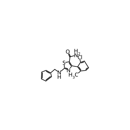 Cc1cccc(Cl)c1-c1nc(NCc2ccccc2)sc1C(N)=O